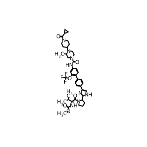 COC(=O)N[C@H](C(=O)N1CCCC1c1nc(-c2ccc(-c3ccc(NC(=O)N4CCN(C5CCN(C(=O)C6CC6)CC5)C(C)C4)cc3OC(F)(F)F)cc2)c[nH]1)C(C)C